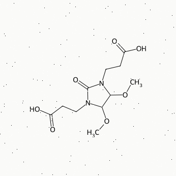 COC1C(OC)N(CCC(=O)O)C(=O)N1CCC(=O)O